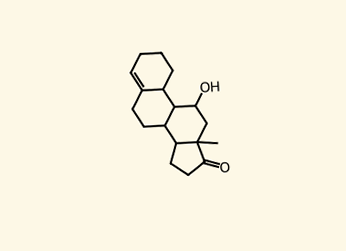 CC12CC(O)C3C4CCCC=C4CCC3C1CCC2=O